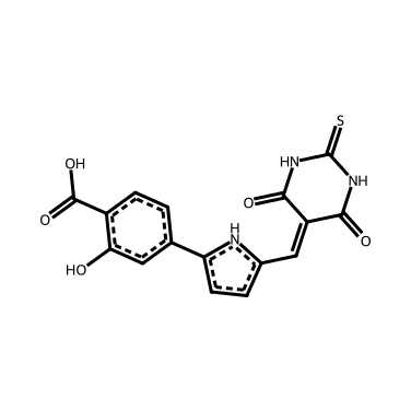 O=C1NC(=S)NC(=O)C1=Cc1ccc(-c2ccc(C(=O)O)c(O)c2)[nH]1